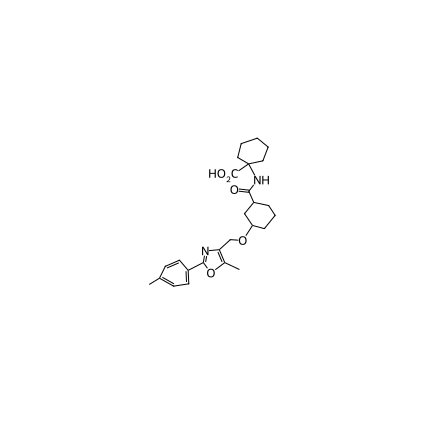 Cc1ccc(-c2nc(COC3CCCC(C(=O)NC4(C(=O)O)CCCCC4)C3)c(C)o2)cc1